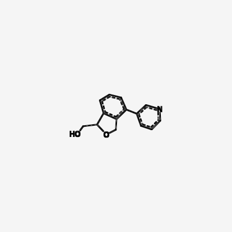 OCC1OCc2c(-c3cccnc3)cccc21